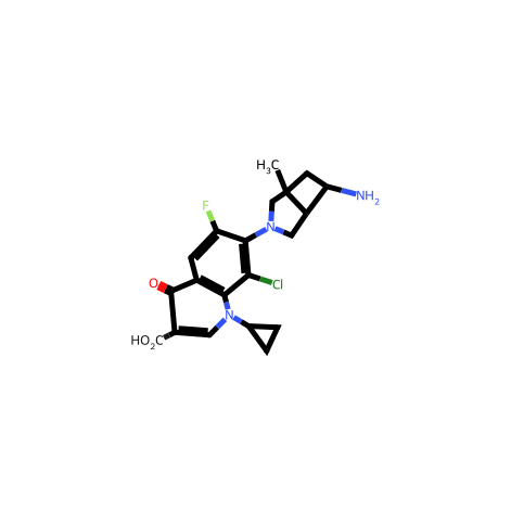 CC12CC(N)C1CN(c1c(F)cc3c(=O)c(C(=O)O)cn(C4CC4)c3c1Cl)C2